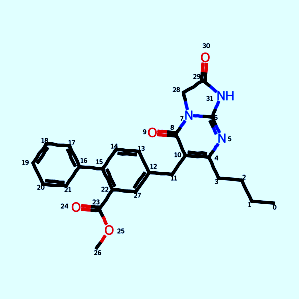 CCCCc1nc2n(c(=O)c1Cc1ccc(-c3ccccc3)c(C(=O)OC)c1)CC(=O)N2